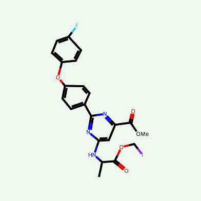 COC(=O)c1cc(NC(C)C(=O)OCI)nc(-c2ccc(Oc3ccc(F)cc3)cc2)n1